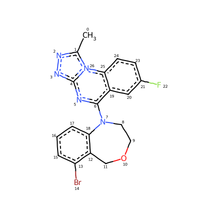 Cc1nnc2nc(N3CCOCc4c(Br)cccc43)c3cc(F)ccc3n12